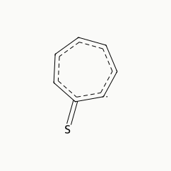 S=c1[c]ccccc1